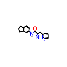 CN(C(=O)C(N)Cc1ccccc1)c1ccc2c(c1)CCC2